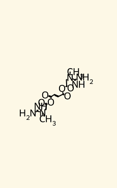 CN(CC(=O)OC(=O)/C=C/C(=O)OC(=O)CN(C)C(=N)N)C(=N)N